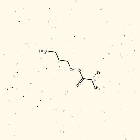 CC(C)[C@H](N)C(=O)OOCCCC(=O)O